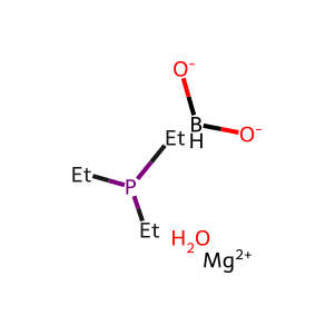 CCP(CC)CC.O.[Mg+2].[O-]B[O-]